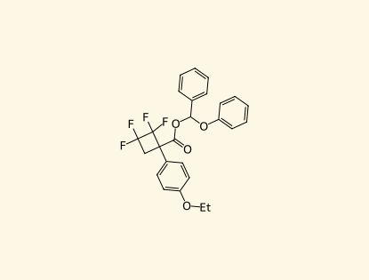 CCOc1ccc(C2(C(=O)OC(Oc3ccccc3)c3ccccc3)CC(F)(F)C2(F)F)cc1